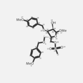 COc1ccc(COC[C@@]2(COS(C)(=O)=O)OC(OC)[C@H](O)[C@@H]2OCc2ccc(OC)cc2)cc1